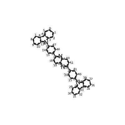 c1ccc2c(c1)c1ccccc1n2-c1ccc(-c2ccc3nc(-c4ccc(-n5c6ccccc6c6ccccc65)cc4)ccc3n2)cc1